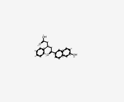 O=C(O)CC(CC(=O)c1ccc2cc(O)ccc2c1)c1ccccc1